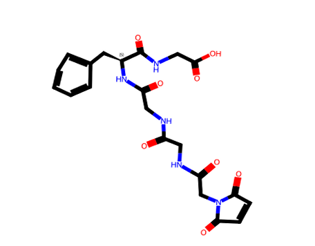 O=C(O)CNC(=O)[C@H](Cc1ccccc1)NC(=O)CNC(=O)CNC(=O)CN1C(=O)C=CC1=O